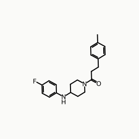 Cc1ccc(CCC(=O)N2CCC(Nc3ccc(F)cc3)CC2)cc1